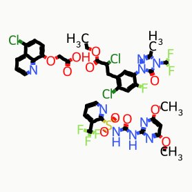 CCOC(=O)C(Cl)Cc1cc(-n2nc(C)n(C(F)F)c2=O)c(F)cc1Cl.COc1cc(OC)nc(NC(=O)NS(=O)(=O)c2ncccc2C(F)(F)F)n1.O=C(O)COc1ccc(Cl)c2cccnc12